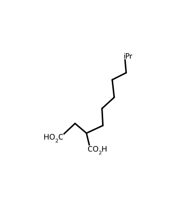 CC(C)CCCCCC(CC(=O)O)C(=O)O